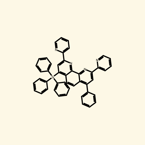 c1ccc(-c2cc(-c3ccccn3)nc3c2ccc2c([Si](c4ccccc4)(c4ccccc4)c4ccccc4)cc(-c4ccccn4)nc23)cc1